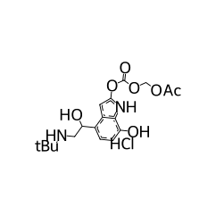 CC(=O)OCOC(=O)Oc1cc2c(C(O)CNC(C)(C)C)ccc(O)c2[nH]1.Cl